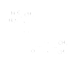 CC(C)c1ccc(C(=O)C#CC2=CC=C(C(C)(C)C)CC2)cc1